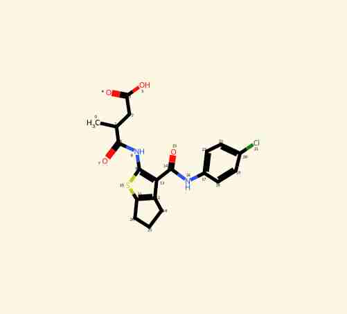 CC(CC(=O)O)C(=O)Nc1sc2c(c1C(=O)Nc1ccc(Cl)cc1)CCC2